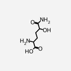 NC(=O)C(O)CCC(N)C(=O)O